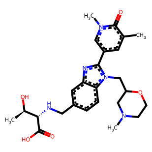 Cc1cc(-c2nc3cc(CN[C@H](C(=O)O)[C@@H](C)O)ccc3n2CC2CN(C)CCO2)cn(C)c1=O